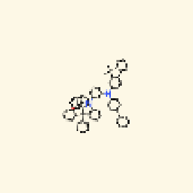 CC1(C)c2ccccc2-c2ccc(N(c3ccc(-c4ccccc4)cc3)c3cccc(N(c4ccccc4)c4ccccc4C4(c5ccccc5)c5ccccc5-c5ccccc54)c3)cc21